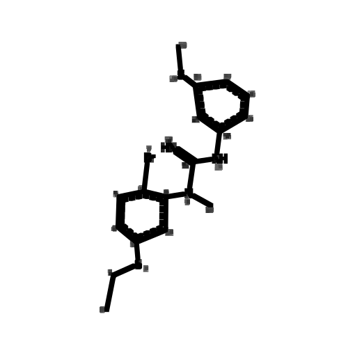 CCSc1ccc(Br)c(N(C)C(=N)Nc2cccc(SC)c2)c1